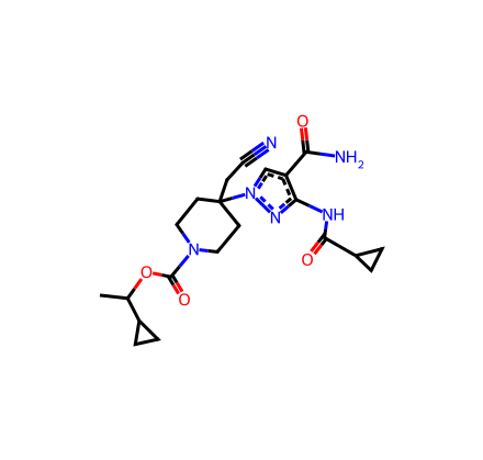 CC(OC(=O)N1CCC(CC#N)(n2cc(C(N)=O)c(NC(=O)C3CC3)n2)CC1)C1CC1